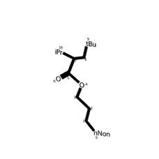 CCCCCCCCCCCCOC(=O)C(CC(C)(C)C)C(C)C